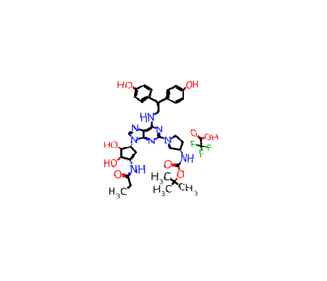 CCC(=O)N[C@H]1C[C@@H](n2cnc3c(NCC(c4ccc(O)cc4)c4ccc(O)cc4)nc(N4CC[C@@H](NC(=O)OC(C)(C)C)C4)nc32)[C@H](O)[C@@H]1O.O=C(O)C(F)(F)F